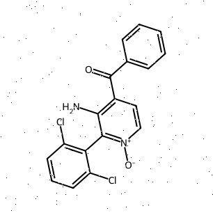 Nc1c(C(=O)c2ccccc2)cc[n+]([O-])c1-c1c(Cl)cccc1Cl